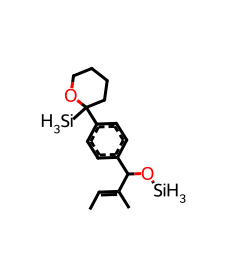 CC=C(C)C(O[SiH3])c1ccc(C2([SiH3])CCCCO2)cc1